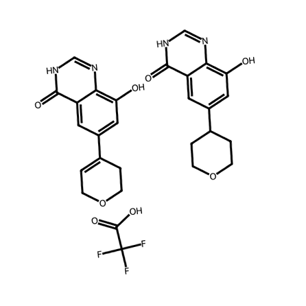 O=C(O)C(F)(F)F.O=c1[nH]cnc2c(O)cc(C3=CCOCC3)cc12.O=c1[nH]cnc2c(O)cc(C3CCOCC3)cc12